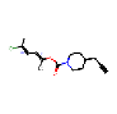 C#CCC1CCN(C(=O)O/C(=C/C=C(\C)Cl)CC)CC1